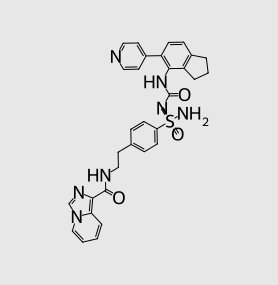 NS(=O)(=NC(=O)Nc1c(-c2ccncc2)ccc2c1CCC2)c1ccc(CCNC(=O)c2ncn3ccccc23)cc1